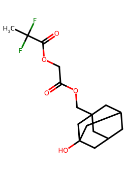 CC(F)(F)C(=O)OCC(=O)OCC12CC3CC(CC(O)(C3)C1)C2